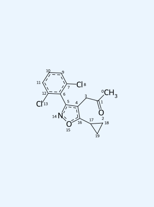 CC(=O)Cc1c(-c2c(Cl)cccc2Cl)noc1C1CC1